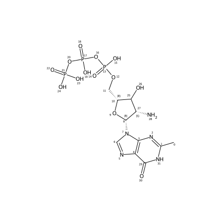 Cc1nc2c(ncn2[C@@H]2O[C@H](COP(=O)(O)OP(=O)(O)OP(=O)(O)O)C(O)[C@@H]2N)c(=O)[nH]1